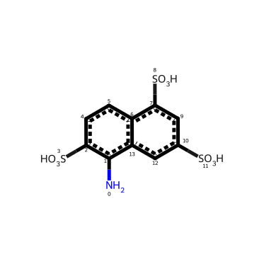 Nc1c(S(=O)(=O)O)ccc2c(S(=O)(=O)O)cc(S(=O)(=O)O)cc12